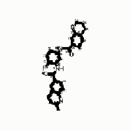 Cc1ccc2cc(C(=O)Nc3cc(NC(=O)c4ccc5c(c4)OCCC5)ccc3F)ccc2n1